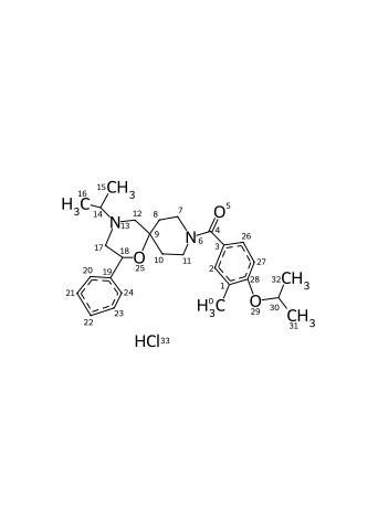 Cc1cc(C(=O)N2CCC3(CC2)CN(C(C)C)CC(c2ccccc2)O3)ccc1OC(C)C.Cl